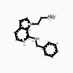 Cl.O=CCCn1ccc2ccnc(NCc3ccccc3)c21